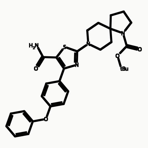 CC(C)(C)OC(=O)N1CCCC12CCN(c1nc(-c3ccc(Oc4ccccc4)cc3)c(C(N)=O)s1)CC2